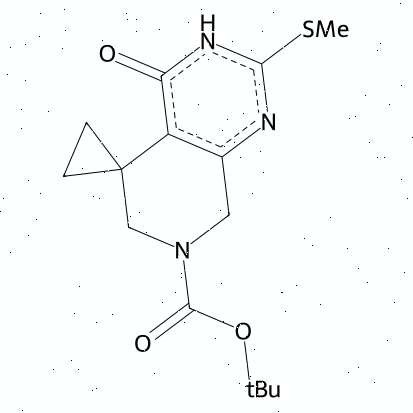 CSc1nc2c(c(=O)[nH]1)C1(CC1)CN(C(=O)OC(C)(C)C)C2